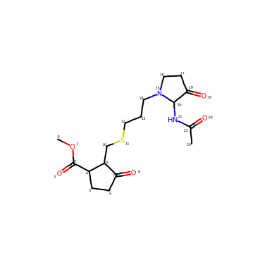 COC(=O)C1CCC(=O)C1CSCCCN1CCC(=O)C1NC(C)=O